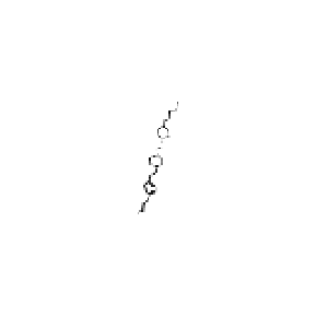 CCCCC[C@H]1CC[C@H](CC[C@H]2CC[C@H](CCc3ccc(CCCC)cc3)CC2)CC1